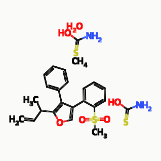 C.C=CC(C)c1occ(-c2ccccc2S(C)(=O)=O)c1-c1ccccc1.NC(O)=S.NC(O)=S.O